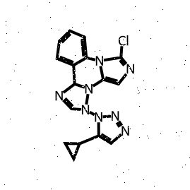 Clc1ncc2n1-c1ccccc1C1N=CN(n3nncc3C3CC3)N21